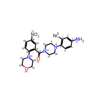 N#Cc1cc(N)ccc1N1CCN(C(=O)c2cc([N+](=O)[O-])ccc2N2CCOCC2)CC1